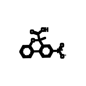 CC1(C(=O)O)Oc2ccccc2-c2ccc([N+](=O)[O-])cc21